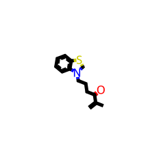 C=C(C)C(=O)CCCN1CSc2ccccc21